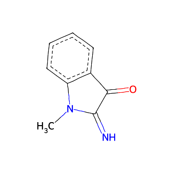 CN1C(=N)C(=O)c2ccccc21